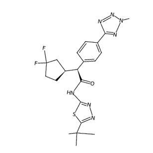 Cn1nnc(-c2ccc([C@@H](C(=O)Nc3nnc(C(C)(C)C)s3)[C@H]3CCC(F)(F)C3)cc2)n1